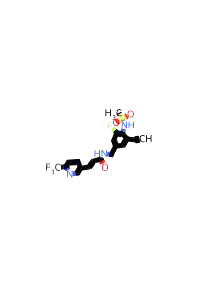 C#Cc1cc(CNC(=O)/C=C/c2ccc(C(F)(F)F)nc2)cc(F)c1NS(C)(=O)=O